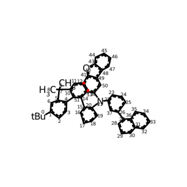 CC(C)(C)c1ccc2c(c1)C(C)(C)c1cccc(-c3ccccc3N(c3cccc(-c4cccc5ccccc45)c3)c3ccc4oc5ccccc5c4c3)c1-2